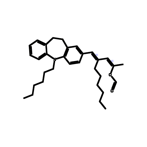 CCCCCCC(/C=C(/C)OC=O)=C\c1ccc2c(c1)CCc1ccccc1N2CCCCCC